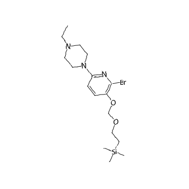 CCN1CCN(c2ccc(OCOCC[Si](C)(C)C)c(Br)n2)CC1